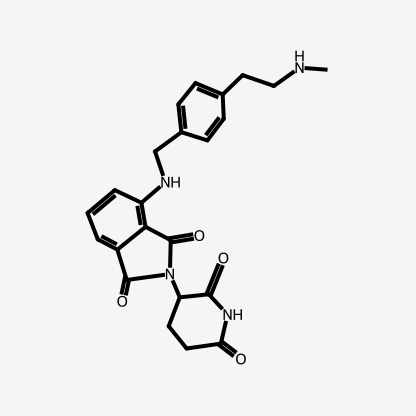 CNCCc1ccc(CNc2cccc3c2C(=O)N(C2CCC(=O)NC2=O)C3=O)cc1